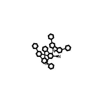 N#Cc1cc(C#N)c2c(c1-n1c3ccc(-c4ccccc4)cc3c3cc(-c4ccccc4)ccc31)-c1ccccc1C21c2cc(-c3ccccc3)ccc2-c2ccc(-c3ccccc3)cc21